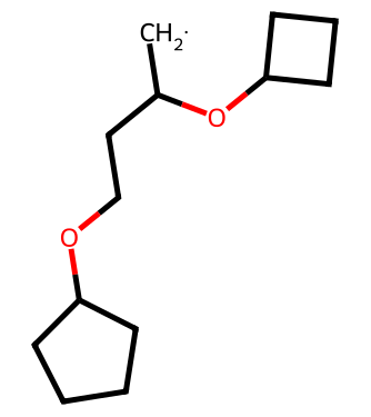 [CH2]C(CCOC1CCCC1)OC1CCC1